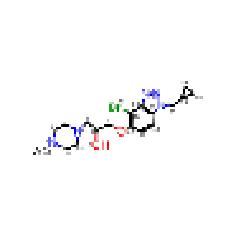 CC(=O)N1CCN(CC(O)COc2ccc3c(nnn3CC3CC3)c2Br)CC1